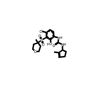 CC1=CCCC1NC(=O)Nc1ccc(Cl)c(S(=O)(=O)C2(C)CCOCC2)c1O